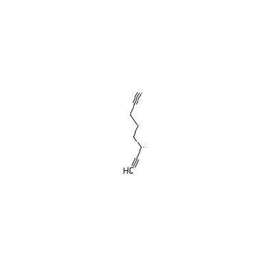 [C]#CCCC[CH]C#C